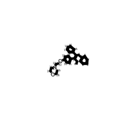 CCC(=C(Cc1ccccc1)c1ccccc1)c1ccc(OCCN2CCOCC2)cc1